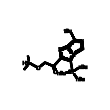 CCC[CH2][Sn]([CH2]CCC)([CH2]CCC)[c]1c(C(=O)CO[SiH](C)C)sc2c(C(C)(C)C)ncn12